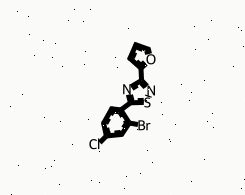 Clc1ccc(-c2nc(-c3ccco3)ns2)c(Br)c1